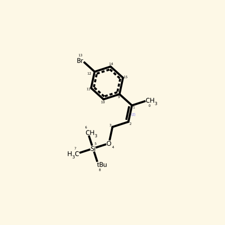 C/C(=C/CO[Si](C)(C)C(C)(C)C)c1ccc(Br)cc1